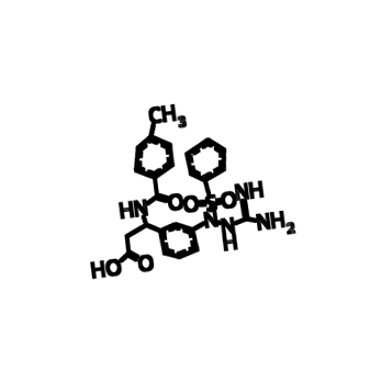 Cc1ccc(C(=O)NC(CC(=O)O)c2cccc(N(NC(=N)N)S(=O)(=O)c3ccccc3)c2)cc1